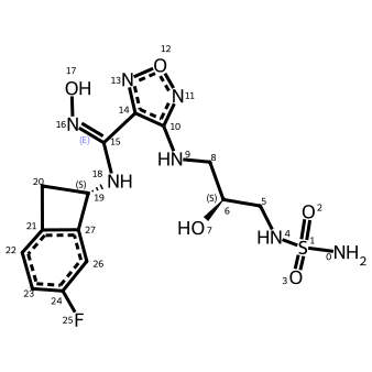 NS(=O)(=O)NC[C@@H](O)CNc1nonc1/C(=N\O)N[C@H]1Cc2ccc(F)cc21